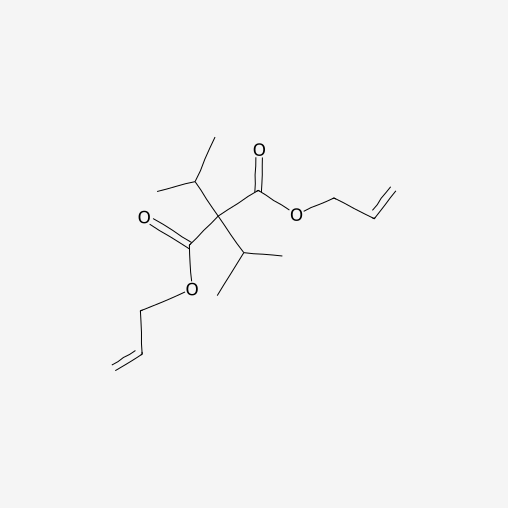 C=CCOC(=O)C(C(=O)OCC=C)(C(C)C)C(C)C